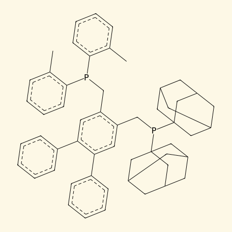 Cc1ccccc1P(Cc1cc(-c2ccccc2)c(-c2ccccc2)cc1CP(C12CC3CC(CC(C3)C1)C2)C12CC3CC(CC(C3)C1)C2)c1ccccc1C